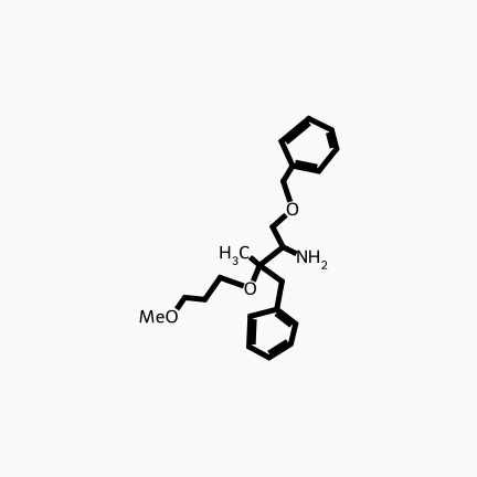 COCCCOC(C)(Cc1ccccc1)C(N)COCc1ccccc1